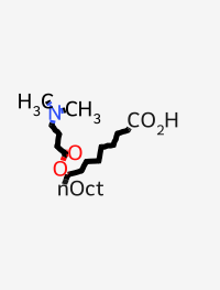 CCCCCCCCC(CCCCCCCC(=O)O)OC(=O)CCCN(C)C